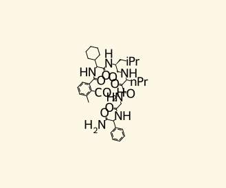 CCCC(NC(=O)[C@H](CC(C)C)NC(=O)[C@@H](NC(=O)c1cccc(C)c1C(=O)O)C1CCCCC1)C(=O)C(=O)NCC(=O)N[C@H](C(N)=O)c1ccccc1